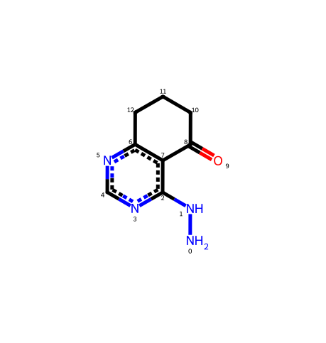 NNc1ncnc2c1C(=O)CCC2